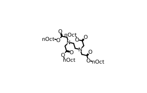 CCCCCCCCOC(=O)CN(CCN(CC(=O)OCCCCCCCC)CC(=O)OCCCCCCCC)CC(=O)OCCCCCCCC